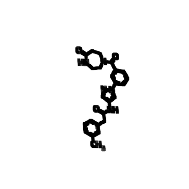 Cc1cccc(CC(=O)Nc2cnn(-c3cccc(C(=O)N4CCNC(=O)CC4)c3)c2)c1